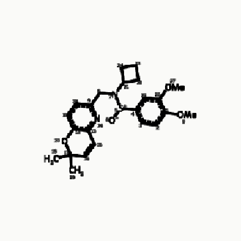 COc1ccc([S+]([O-])N(Cc2ccc3c(n2)C=CC(C)(C)O3)C2CCC2)cc1OC